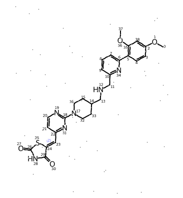 COc1ccc(-c2cccc(CNCC3CCN(c4nccc(/C=C5\SC(=O)NC5=O)n4)CC3)n2)c(OC)c1